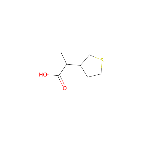 CC(C(=O)O)C1CCSC1